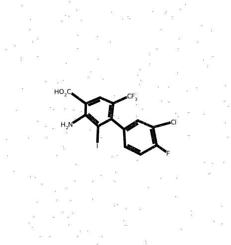 Nc1c(C(=O)O)cc(C(F)(F)F)c(-c2ccc(F)c(Cl)c2)c1I